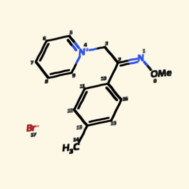 CO/N=C(/C[n+]1ccccc1)c1ccc(C)cc1.[Br-]